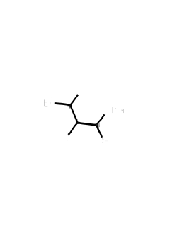 CCCCCC(P)C(CCCC)C(CC)CC